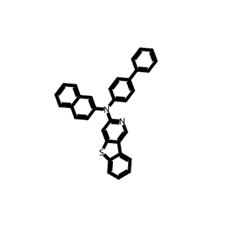 c1ccc(-c2ccc(N(c3ccc4ccccc4c3)c3cc4sc5ccccc5c4cn3)cc2)cc1